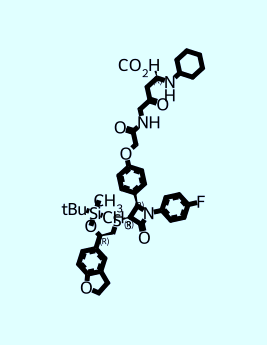 CC(C)(C)[Si](C)(C)O[C@@H](CS[C@H]1C(=O)N(c2ccc(F)cc2)[C@@H]1c1ccc(OCC(=O)NCC(=O)C[C@@H](NC2CCCCC2)C(=O)O)cc1)c1ccc2c(c1)CCO2